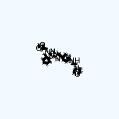 C1=C(CN(Cc2ccccc2)c2nn3cc(-c4ccc(NCCN5CCOCC5)nc4)nc3s2)OCO1